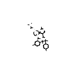 CCOc1nc(C(C)(C)C)ncc1C1=NC(C)(c2ccc(Cl)cc2)C(C)(c2ccc(Cl)cc2)N1C(=O)N1CCN(OC(=O)N(C)C)CC1